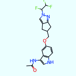 CC(=O)Nc1c[nH]c2ccc(OCC3Cc4cn(C(F)C(F)F)nc4C3)cc12